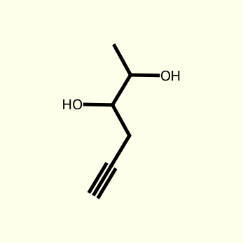 C#CCC(O)C(C)O